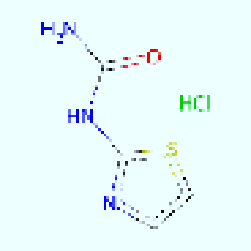 Cl.NC(=O)Nc1nccs1